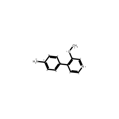 COc1cnccc1-c1ccc(N)cc1